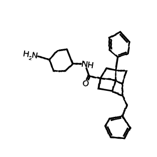 NC1CCC(NC(=O)C23CC4C(Cc5ccccc5)C5CC(c6ccccc6)(C2)C453)CC1